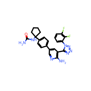 NC(=O)NC1(c2ccc(-c3cnc(N)c(-c4nnnn4-c4cccc(F)c4F)c3)cc2)CCCC1